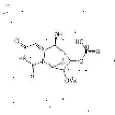 COC1C(O[PH](=O)O)C2OC1n1c(cc(=O)[nH]c1=O)[C@H]2O